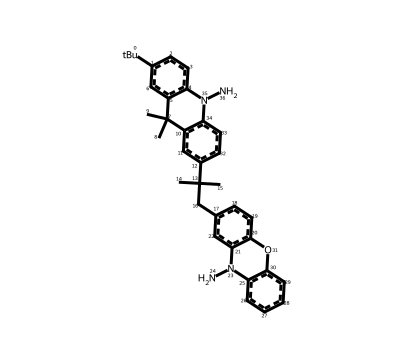 CC(C)(C)c1ccc2c(c1)C(C)(C)c1cc(C(C)(C)Cc3ccc4c(c3)N(N)c3ccccc3O4)ccc1N2N